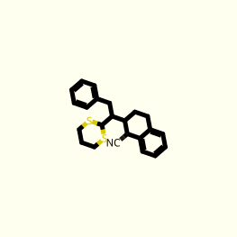 N#CC1c2ccccc2CCC1C(Cc1ccccc1)C1SCCCS1